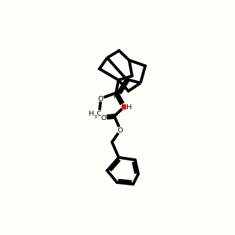 COC(=O)C12CC3CC(C1)C(=NNC(=O)OCc1ccccc1)C(C3)C2